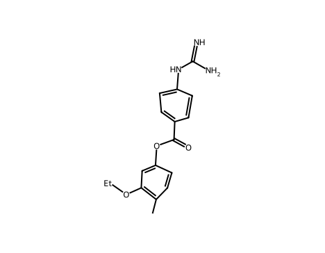 CCOc1cc(OC(=O)c2ccc(NC(=N)N)cc2)ccc1C